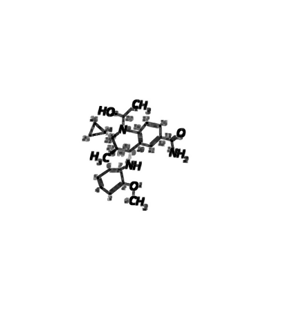 COc1ccccc1N[C@H]1c2cc(C(N)=O)ccc2N(C(C)O)[C@@H](C2CC2)[C@@H]1C